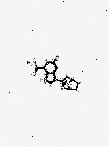 NC(=O)c1cc(Br)cc2c(C3CC4CCC(C3)S4(=O)=O)c[nH]c12